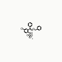 O=S(=O)(Nc1ccc(Cl)cc1/C(=N/OCc1ccccc1)c1ccccc1)C(F)(F)F